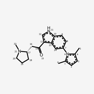 Cc1ccc(C)n1-c1ccc2[nH]cc(C(=O)C[C@@H]3CCCN3C)c2c1